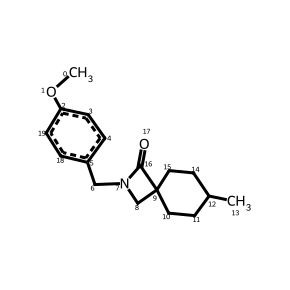 COc1ccc(CN2CC3(CCC(C)CC3)C2=O)cc1